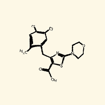 Cc1cc(Cl)c(Cl)cc1Cc1nc(N2CCOCC2)sc1C(=O)O